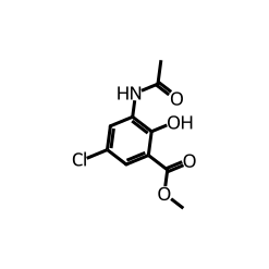 COC(=O)c1cc(Cl)cc(NC(C)=O)c1O